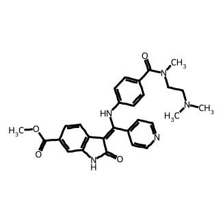 COC(=O)c1ccc2c(c1)NC(=O)C2=C(Nc1ccc(C(=O)N(C)CCN(C)C)cc1)c1ccncc1